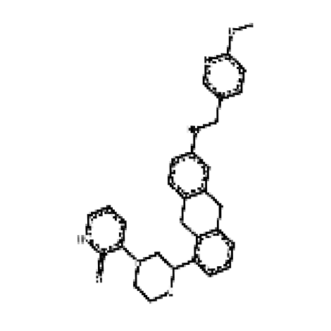 COc1ccc(CNc2ccc3c(c2)Cc2cccc(C4CN(c5ccc[nH]c5=O)CCO4)c2S3)cn1